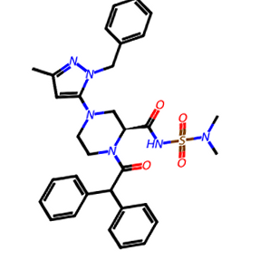 Cc1cc(N2CCN(C(=O)C(c3ccccc3)c3ccccc3)[C@H](C(=O)NS(=O)(=O)N(C)C)C2)n(Cc2ccccc2)n1